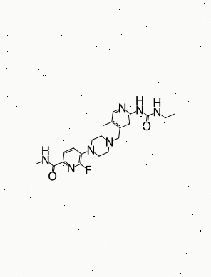 CCNC(=O)Nc1cc(CN2CCN(c3ccc(C(=O)NC)nc3F)CC2)c(C)cn1